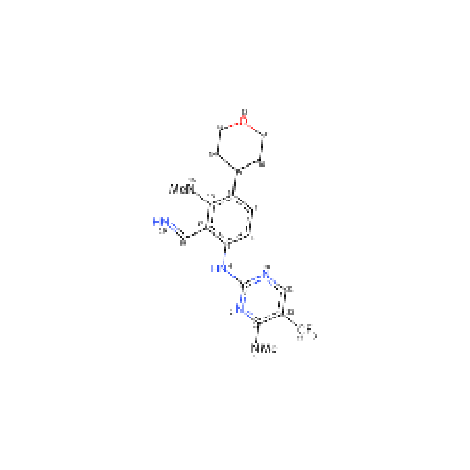 CNc1nc(Nc2ccc(C3CCOCC3)c(NC)c2C=N)ncc1C(F)(F)F